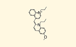 CCCN1/C(=C\c2cc[n+](CCC)c3ccccc23)C=Cc2cc(OC)ccc21